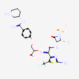 C[C@H]1[C@H](NC(=O)/C(=N\OC(COc2ccc(C(=N)N[C@@H]3CCCNC3)cc2)C(=O)O)c2nc(N)sc2C(F)(F)F)C(=O)N1S(=O)(=O)O